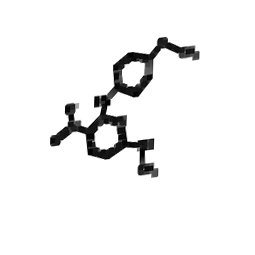 CNc1ccc([N+](=O)[O-])c(Nc2ccc(OC)cc2)n1